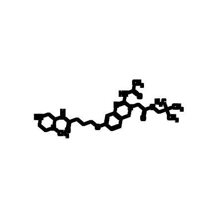 CC(=O)NC1=Nc2cc(OCCCC(=O)NC3CNCCN3C)ccc2CN1CC(=O)OCC(C)(C)C